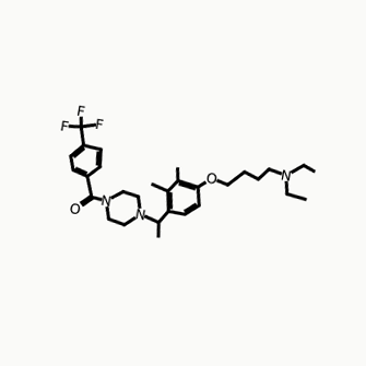 CCN(CC)CCCCOc1ccc(C(C)N2CCN(C(=O)c3ccc(C(F)(F)F)cc3)CC2)c(C)c1C